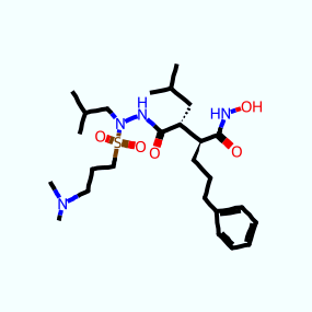 CC(C)C[C@@H](C(=O)NN(CC(C)C)S(=O)(=O)CCCN(C)C)[C@H](CCCc1ccccc1)C(=O)NO